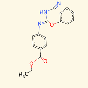 CCOC(=O)c1ccc(/N=C(/NC#N)Oc2ccccc2)cc1